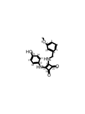 COc1cccc(CNc2c(Nc3ccc(O)cc3)c(=O)c2=O)c1